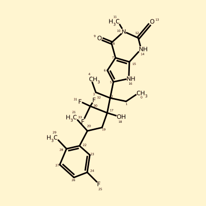 CCC(CC)(c1cc2c(=O)n(C)c(=O)[nH]c2[nH]1)C(O)(CC(C)c1cc(F)ccc1C)C(F)(F)F